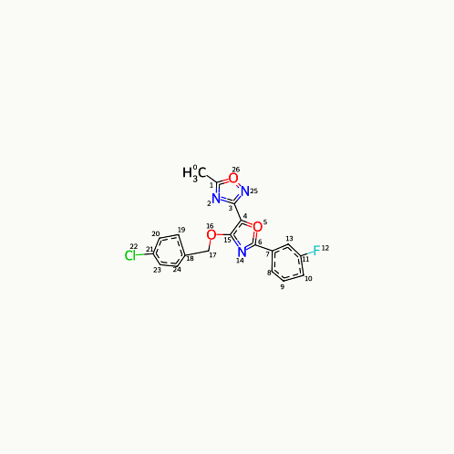 Cc1nc(-c2oc(-c3cccc(F)c3)nc2OCc2ccc(Cl)cc2)no1